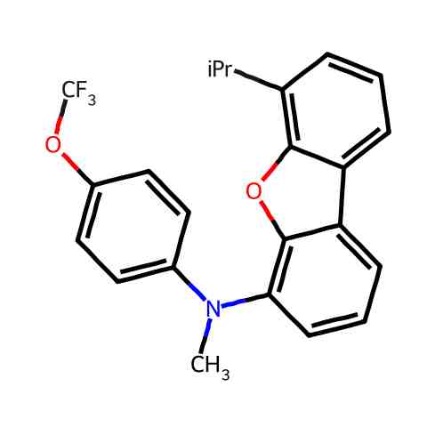 CC(C)c1cccc2c1oc1c(N(C)c3ccc(OC(F)(F)F)cc3)cccc12